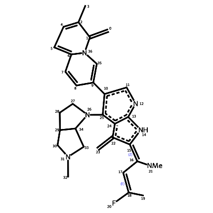 C=C1C(C)=CC=C2C=CC(c3cnc4[nH]/c(=C(/C=C(\C)F)NC)c(=C)c4c3N3CCC4CN(C)CC43)=CN12